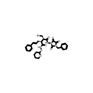 CC(C)C[C@@H](C(=O)NN1C(=O)C(=O)N(Cc2ccccc2)C1=O)[C@H](CC=Cc1ccccc1)C(=O)NOC1CCCCO1